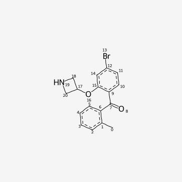 Cc1ccccc1C(=O)c1ccc(Br)cc1OC1CNC1